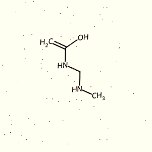 C=C(O)NCNC